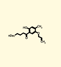 C=CCOc1cc(C(=O)CCCCCCCCCCCCC)c(O)cc1C